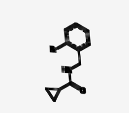 O=C(NCc1ccccc1Br)C1CC1